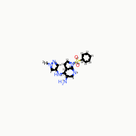 [2H]n1cc(Nc2c(N)cnc3c2ccn3S(=O)(=O)c2ccccc2)cn1